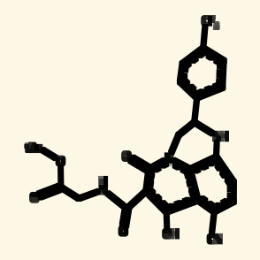 CC(C)(C)OC(=O)CNC(=O)c1c(O)c2c(C#N)ccc3c2n(c1=O)CC(c1ccc(C(F)(F)F)cc1)N3